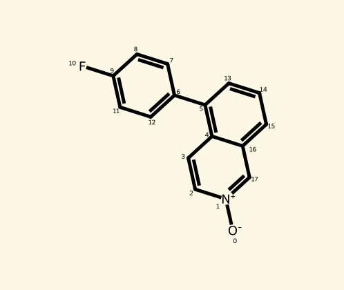 [O-][n+]1ccc2c(-c3ccc(F)cc3)cccc2c1